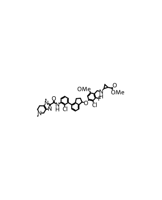 COC(=O)C1CC1NCc1c(OC)cc(OC2CCc3c(-c4cccc(NC(=O)c5nc6c(n5C)CCN(C)C6)c4Cl)cccc32)c(Cl)c1F